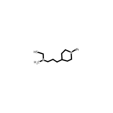 CC(C)N1CCC(CCCN(C)CS)CC1